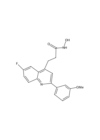 COc1cccc(-c2cc(CCC(=O)NO)c3cc(F)ccc3n2)c1